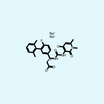 Cc1cccc(C)c1-c1cc([C@H](CC(=O)[O-])NC(=O)Nc2c([O-])cc(C)n(C)c2=O)ccc1F.[Na+].[Na+]